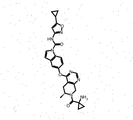 C[C@H]1Cc2c(ncnc2Oc2ccc3c(ccn3C(=O)Nc3cc(C4CC4)on3)c2)CN1C(=O)C1(N)CC1